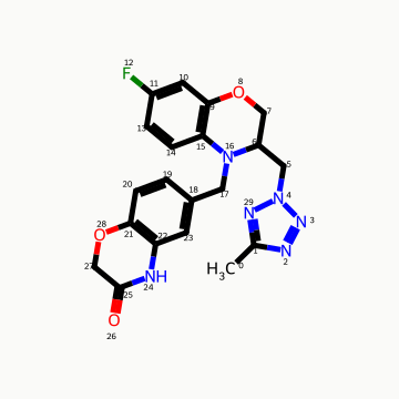 Cc1nnn(CC2COc3cc(F)ccc3N2Cc2ccc3c(c2)NC(=O)CO3)n1